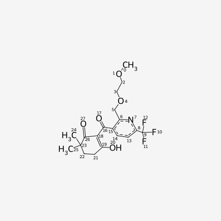 COCCOCc1nc(C(F)(F)F)ccc1C(=O)C1=C(O)CCC(C)(C)C1=O